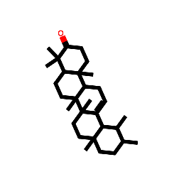 CC1CCC2(C)CCC3(C)C(=CCC4C5(C)CCC(=O)C(C)(C)C5CCC43C)C2C1C